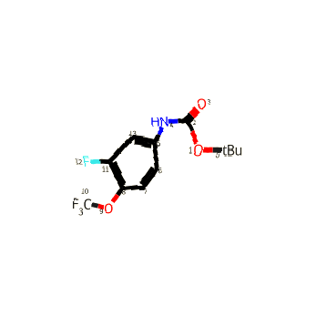 CC(C)(C)OC(=O)Nc1ccc(OC(F)(F)F)c(F)c1